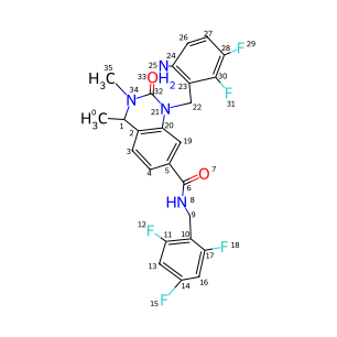 CC1c2ccc(C(=O)NCc3c(F)cc(F)cc3F)cc2N(Cc2c(N)ccc(F)c2F)C(=O)N1C